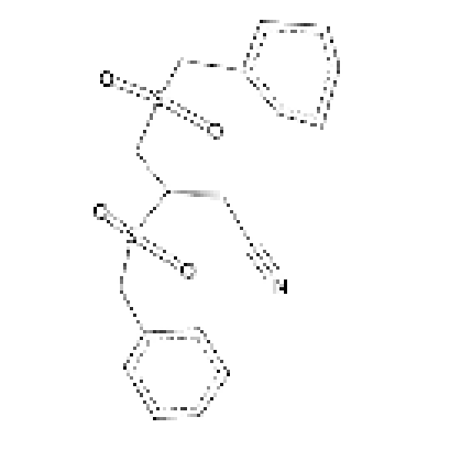 N#CC[C@@H](CS(=O)(=O)Cc1ccccc1)S(=O)(=O)Cc1ccccc1